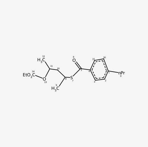 CCCc1ccc(C(=O)SC(C)CC(C)OC(=O)OCC)cc1